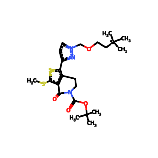 CSc1sc(-c2ccn(COCC[Si](C)(C)C)n2)c2c1C(=O)N(C(=O)OC(C)(C)C)CC2